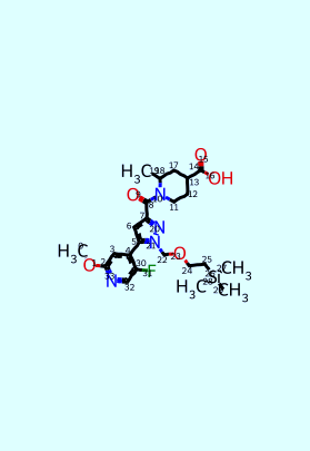 COc1cc(-c2cc(C(=O)N3CCC(C(=O)O)CC3C)nn2COCC[Si](C)(C)C)c(F)cn1